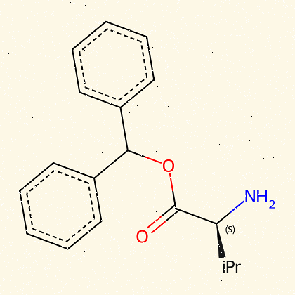 CC(C)[C@H](N)C(=O)OC(c1ccccc1)c1ccccc1